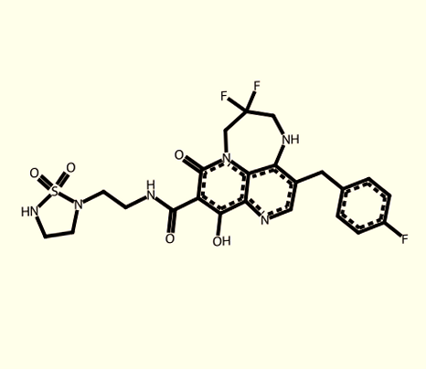 O=C(NCCN1CCNS1(=O)=O)c1c(O)c2ncc(Cc3ccc(F)cc3)c3c2n(c1=O)CC(F)(F)CN3